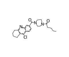 CCCCC(=O)N1CCN(C(=O)c2ccc3c(Cl)c4c(nc3c2)CCCC4)CC1